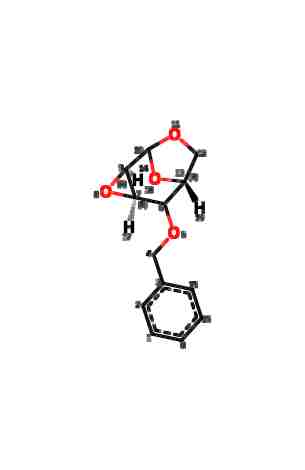 c1ccc(COC2[C@H]3O[C@H]3C3OC[C@H]2O3)cc1